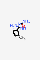 NC1=NC(N)(c2cccc(C(F)(F)F)c2)NO1